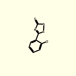 S=c1nc(-c2ccccc2Cl)ss1